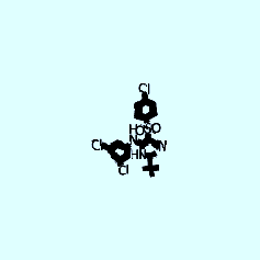 CC(NC(Nc1cc(Cl)cc(Cl)c1)=C(C#N)S(=O)(=O)c1ccc(Cl)cc1)C(C)(C)C